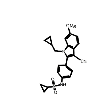 COc1ccc2c(C#N)c(-c3ccc(NS(=O)(=O)C4CC4)cc3)n(CC3CC3)c2c1